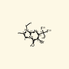 CCn1c(C)cn2c(=O)c(Br)c(C(F)(F)F)nc12